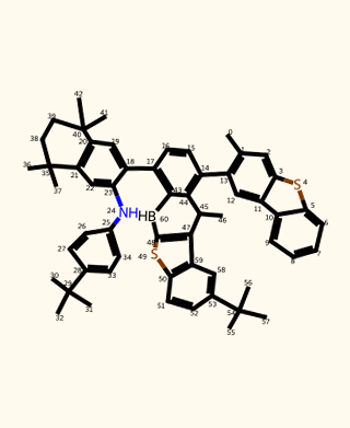 Cc1cc2sc3ccccc3c2cc1-c1ccc(-c2cc3c(cc2Nc2ccc(C(C)(C)C)cc2)C(C)(C)CCC3(C)C)c2c1C(C)c1c(sc3ccc(C(C)(C)C)cc13)B2